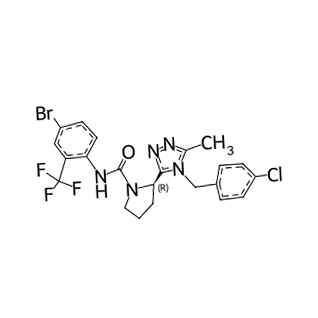 Cc1nnc([C@H]2CCCN2C(=O)Nc2ccc(Br)cc2C(F)(F)F)n1Cc1ccc(Cl)cc1